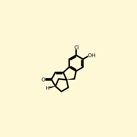 O=C1C=C2c3cc(Cl)c(O)cc3C[C@]23CC[C@H]1C3